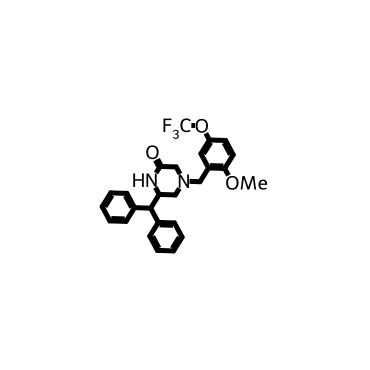 COc1ccc(OC(F)(F)F)cc1CN1CC(=O)NC(C(c2ccccc2)c2ccccc2)C1